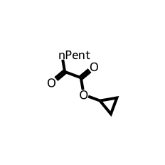 CCCCCC(=O)C(=O)OC1CC1